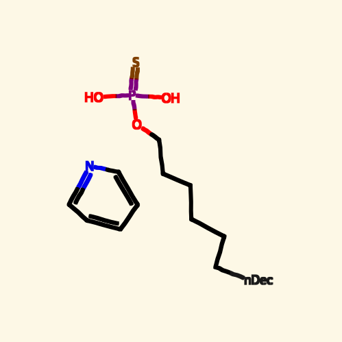 CCCCCCCCCCCCCCCCOP(O)(O)=S.c1ccncc1